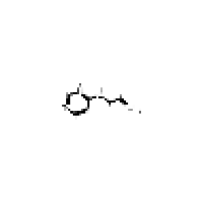 C=CCOc1ccn[c]n1